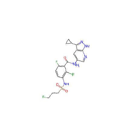 O=C(Nc1cnc2[nH]nc(C3CC3)c2c1)c1c(F)ccc(NS(=O)(=O)CCCF)c1F